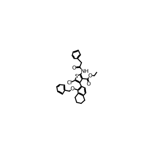 CCOC(=O)c1c(NC(=O)Cc2ccccc2)sc(Cl)c1-c1ccc2c(c1OCc1ccccc1)CCCC2